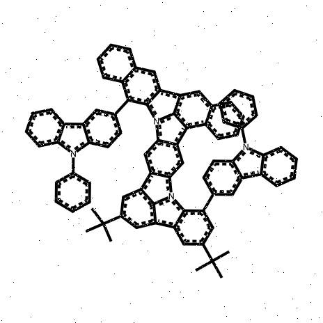 CC(C)(C)c1cc(-c2ccc3c(c2)c2ccccc2n3-c2ccccc2)c2c(c1)c1cc(C(C)(C)C)cc3c4cc5c(cc4n2c31)c1c2ccccc2cc2c3cc4ccccc4c(-c4ccc6c(c4)c4ccccc4n6-c4ccccc4)c3n5c21